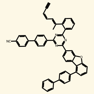 C#C/C=C\C=C(/C)c1ccccc1-c1nc(-c2ccc(-c3ccc(C#N)cc3)cc2)nc(-c2ccc3c(c2)oc2cccc(-c4ccc(-c5ccccc5)cc4)c23)n1